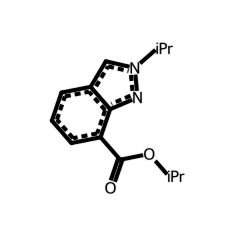 CC(C)OC(=O)c1cccc2cn(C(C)C)nc12